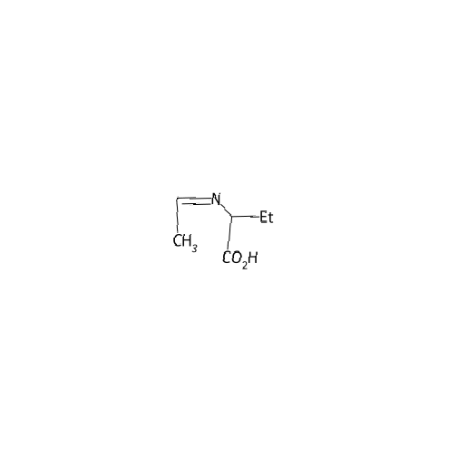 C/C=N\C(CC)C(=O)O